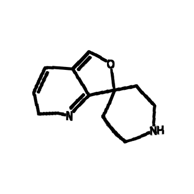 C1=CC2=COC3(CCNCC3)C2=NC1